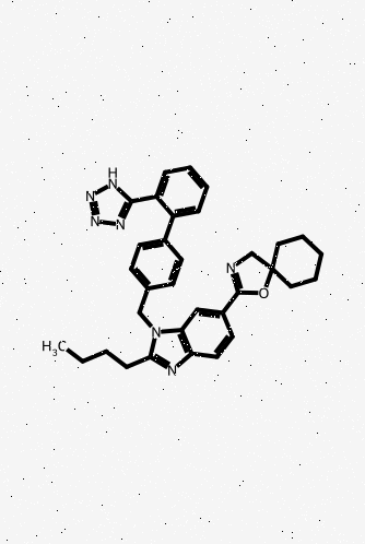 CCCCc1nc2ccc(C3=NCC4(CCCCC4)O3)cc2n1Cc1ccc(-c2ccccc2-c2nnn[nH]2)cc1